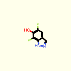 Oc1c(F)cc2cn[nH]c2c1F